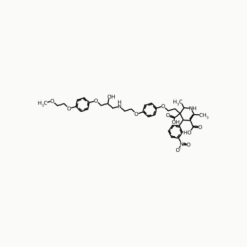 COCCOc1ccc(OCC(O)CNCCOc2ccc(OCCC3(C(=O)O)C(C)NC(C)=C(C(=O)O)C3c3cccc([N+](=O)[O-])c3)cc2)cc1